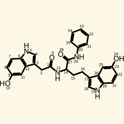 O=C(Cc1c[nH]c2ccc(O)cc12)NC(CCc1c[nH]c2ccc(O)cc12)C(=O)Nc1ccccc1